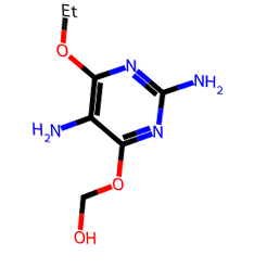 CCOc1nc(N)nc(OCO)c1N